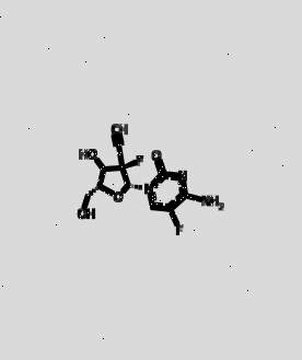 C#C[C@@]1(F)C(O)[C@@H](CO)O[C@H]1n1cc(F)c(N)nc1=O